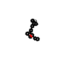 c1ccc(-c2ccccc2N(c2ccc(-c3ccc4ccccc4c3)cc2)c2ccc(-c3ccc4c(c3)c3cccc5c3n4-c3ccccc3O5)cc2)cc1